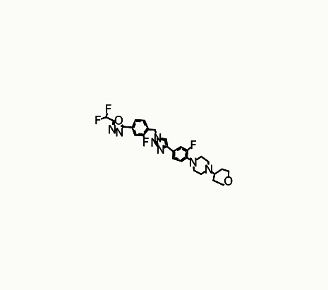 Fc1cc(-c2nnc(C(F)F)o2)ccc1Cn1cc(-c2ccc(N3CCN(C4CCOCC4)CC3)c(F)c2)nn1